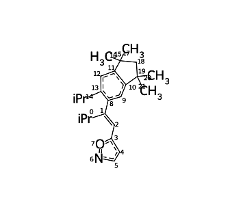 CC(C)C(=Cc1ccno1)c1cc2c(cc1C(C)C)C(C)(C)CC2(C)C